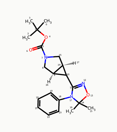 CC(C)(C)OC(=O)N1C[C@@H]2C(C3=NOC(C)(C)N3c3ccccc3)[C@@H]2C1